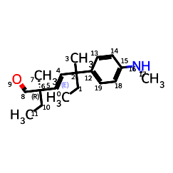 CCC(C)(/C=C/[C@](C)(C=O)CC)c1ccc(NC)cc1